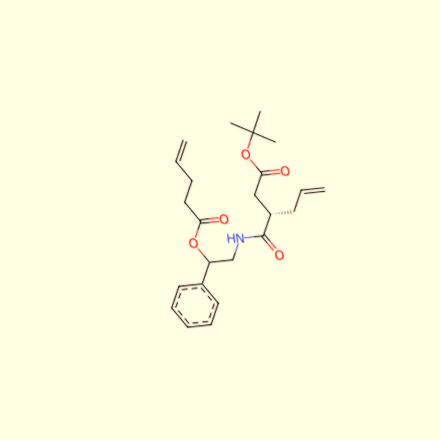 C=CCCC(=O)OC(CNC(=O)[C@@H](CC=C)CC(=O)OC(C)(C)C)c1ccccc1